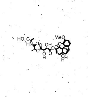 COc1ccc2c3c1O[C@@H]1C(OC(=O)[C@H](O)[C@@H](O)C(=O)O[C@@H](C)C(=O)N[C@@H](C)C(=O)O)=CC[C@]4(O)[C@@H](CCC[C@@]314)C2